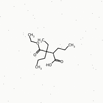 CCCC(C(=O)O)C(CC)(CCC)C(=O)OCC